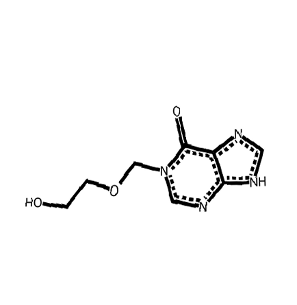 O=c1c2nc[nH]c2ncn1COCCO